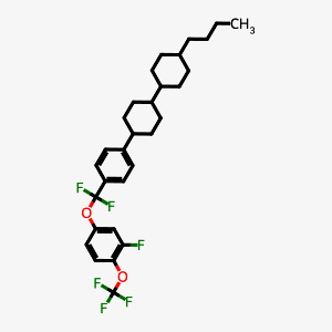 CCCCC1CCC(C2CCC(c3ccc(C(F)(F)Oc4ccc(OC(F)(F)F)c(F)c4)cc3)CC2)CC1